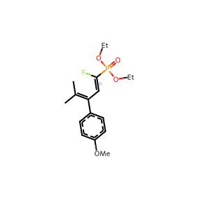 CCOP(=O)(OCC)/C(F)=C/C(=C(C)C)c1ccc(OC)cc1